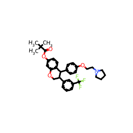 CC(C)(C)C(=O)Oc1ccc2c(c1)OCC(c1cccc(C(F)(F)F)c1)C2c1ccc(OCCN2CCCC2)cc1